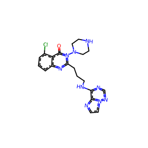 O=c1c2c(Cl)cccc2nc(CCCNc2ncnn3ccnc23)n1N1CCNCC1